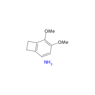 COc1ccc2c(c1OC)CC2.N